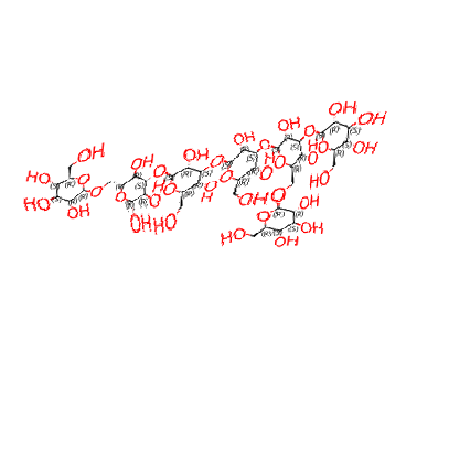 OC[C@H]1O[C@@H](OC[C@H]2O[C@@H](O)[C@H](O)[C@@H](O[C@@H]3O[C@H](CO)[C@@H](O)[C@H](O[C@@H]4O[C@H](CO)[C@@H](O)[C@H](O[C@@H]5O[C@H](CO[C@@H]6O[C@H](CO)[C@@H](O)[C@H](O)[C@H]6O)[C@@H](O)[C@H](O[C@@H]6O[C@H](CO)[C@@H](O)[C@H](O)[C@H]6O)[C@H]5O)[C@H]4O)[C@H]3O)[C@@H]2O)[C@H](O)[C@@H](O)[C@@H]1O